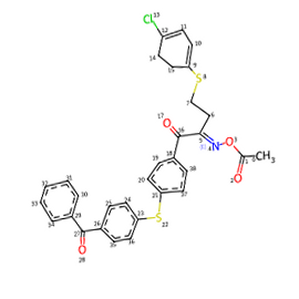 CC(=O)O/N=C(\CCSC1=CC=C(Cl)CC1)C(=O)c1ccc(Sc2ccc(C(=O)c3ccccc3)cc2)cc1